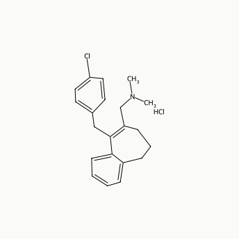 CN(C)CC1=C(Cc2ccc(Cl)cc2)c2ccccc2CCC1.Cl